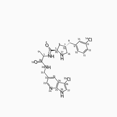 CC(NC(=O)[C@H]1C[C@H](Cc2cccc(Cl)c2)CN1)C(=O)NCc1cnc2[nH]cc(Cl)c2c1